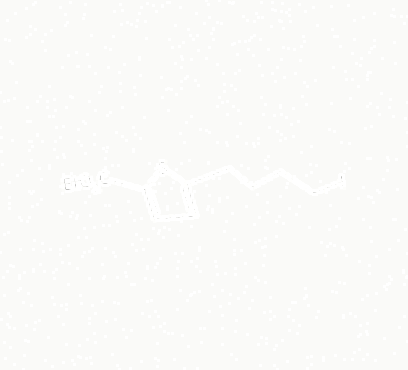 CCOC(=O)c1ccc(CCCCI)s1